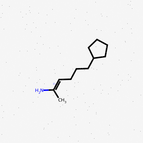 C/C(N)=C\CCCC1CCCC1